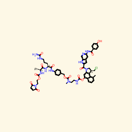 Cc1cccc2c(OC(=O)NCCN(C)C(=O)OCc3ccc(NC(=O)[C@H](CCCNC(N)=O)NC(=O)[C@@H](NC(=O)OCCN4C(=O)C=CC4=O)C(C)C)cc3)cc3c(c12)[C@H](CCl)CN3C(=O)c1cc2cc(NC(=O)c3ccc(O)cc3)ncc2[nH]1